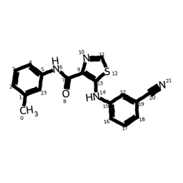 Cc1cccc(NC(=O)c2ncsc2Nc2cccc(C#N)c2)c1